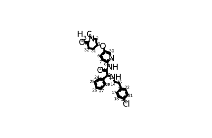 CN1C[C@H](Oc2ccc(NC(=O)C(NCCc3ccc(Cl)cc3)c3ccccc3)nc2)CCC1=O